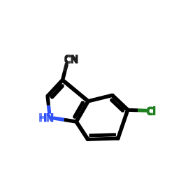 N#Cc1c[nH]c2ccc(Cl)cc12